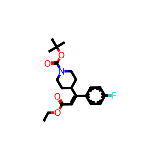 CCOC(=O)C=C(c1ccc(F)cc1)C1CCN(C(=O)OC(C)(C)C)CC1